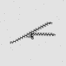 CC(C)CCCCCCCCCCCCCCCC(CCCCCCCCCCCCCCCC(C)C)C(C)(CCCCCCCCCCCCCCCC(C)C)[O][Ti](=[O])[OH]